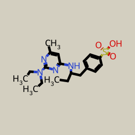 CCC(Cc1ccc(S(=O)(=O)O)cc1)Nc1cc(C)nc(N(CC)CC)n1